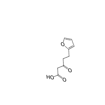 O=C(O)CC(=O)CCc1ccco1